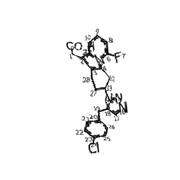 O=C(O)Cc1c2c(n3c(F)cccc13)CC(n1nncc1Cc1ccc(Cl)cc1)CC2